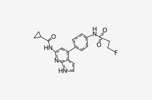 O=C(Nc1cc(-c2ccc(NS(=O)(=O)CCF)cc2)c2cc[nH]c2n1)C1CC1